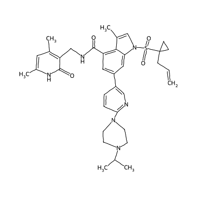 C=CCC1(S(=O)(=O)n2cc(C)c3c(C(=O)NCc4c(C)cc(C)[nH]c4=O)cc(-c4ccc(N5CCN(C(C)C)CC5)nc4)cc32)CC1